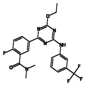 CCOc1nc(Nc2cccc(C(F)(F)F)c2)nc(-c2ccc(F)c(C(=O)N(C)C)c2)n1